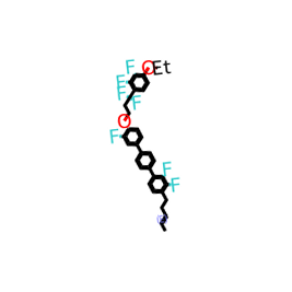 C/C=C/CCc1ccc(-c2ccc(-c3ccc(OCCC(F)(F)c4ccc(OCC)c(F)c4F)c(F)c3)cc2)c(F)c1F